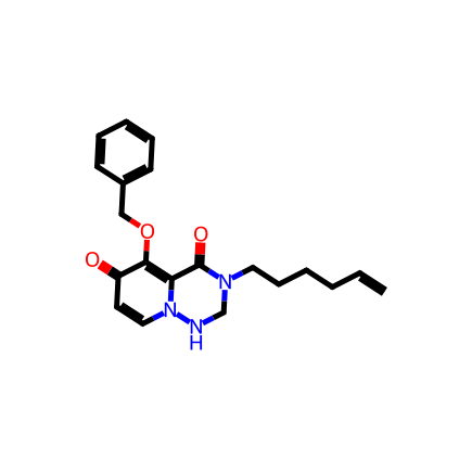 C=CCCCCN1CNn2ccc(=O)c(OCc3ccccc3)c2C1=O